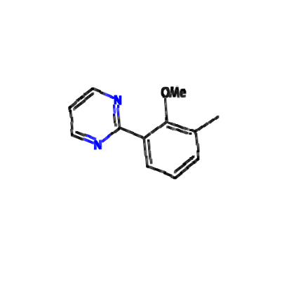 COc1c(C)cccc1-c1ncccn1